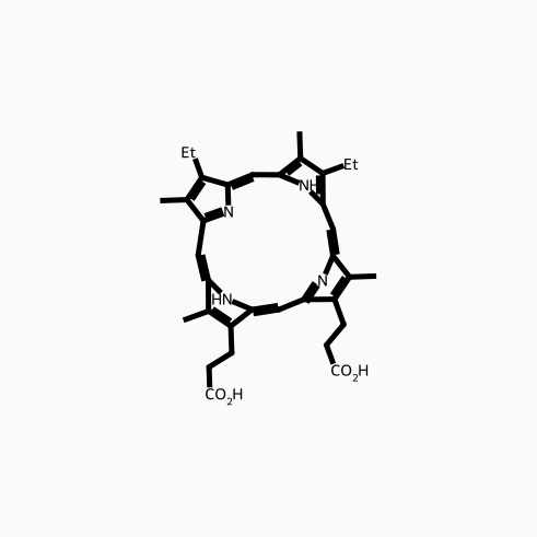 CCC1=C(C)c2cc3[nH]c(cc4nc(cc5[nH]c(cc1n2)c(C)c5CC)C(C)=C4CCC(=O)O)c(CCC(=O)O)c3C